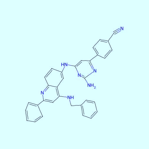 N#Cc1ccc(-c2cc(Nc3ccc4nc(-c5ccccc5)cc(NCc5ccccc5)c4c3)nc(N)n2)cc1